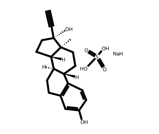 C#C[C@]1(O)CC[C@H]2[C@@H]3CCc4cc(O)ccc4[C@H]3CC[C@@]21C.O=S(=O)(O)O.[NaH]